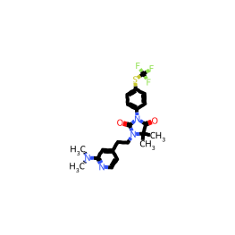 CN(C)c1cc(CCN2C(=O)N(c3ccc(SC(F)(F)F)cc3)C(=O)C2(C)C)ccn1